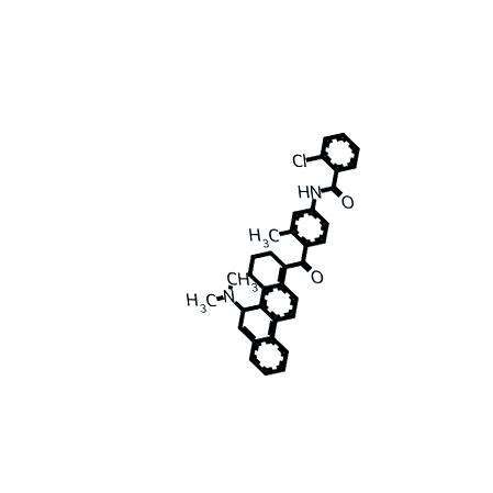 Cc1cc(NC(=O)c2ccccc2Cl)ccc1C(=O)C1=c2ccc3c(c2CCC1)C(N(C)C)C=c1ccccc1=3